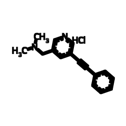 CN(C)Cc1cncc(C#Cc2ccccc2)c1.Cl